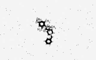 CCCCOc1cc(C)c(NC(=O)C2(N(C)C)CCN(Cc3ccccc3)CC2)c(C)c1